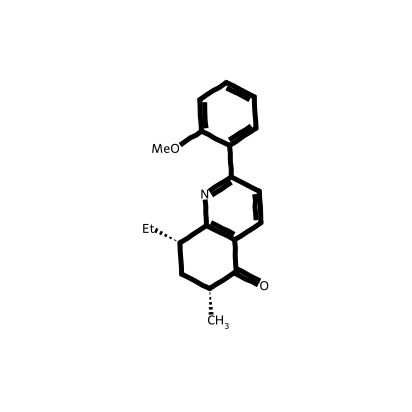 CC[C@H]1C[C@@H](C)C(=O)c2ccc(-c3ccccc3OC)nc21